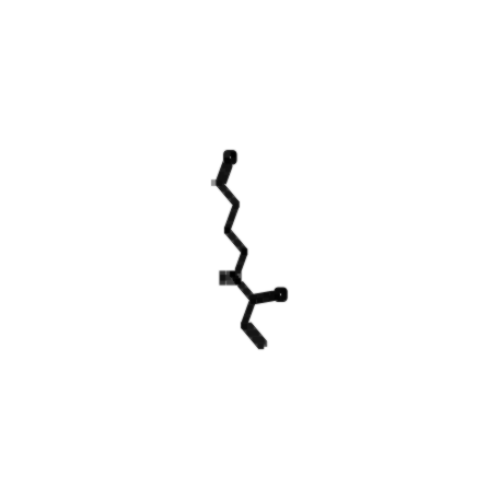 C=CC(=O)NCCC[C]=O